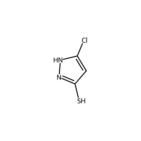 Sc1cc(Cl)[nH]n1